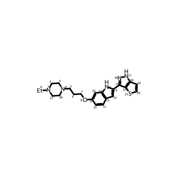 CCN1CCN(CCCOc2ccc3cc(-c4n[nH]c5ccsc45)[nH]c3c2)CC1